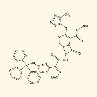 CON=C(C(=O)NC1C(=O)N2C(C(=O)OC(C)(C)C)=C(Sc3nnnn3C)SCC12)c1csc(NC(c2ccccc2)(c2ccccc2)c2ccccc2)n1